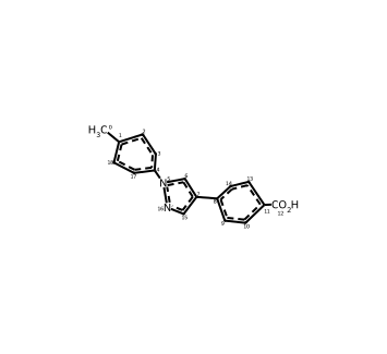 Cc1ccc(-n2cc(-c3ccc(C(=O)O)cc3)cn2)cc1